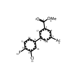 COC(=O)c1cc(C(C)=O)nc(-c2ccc(F)c(Cl)c2)c1